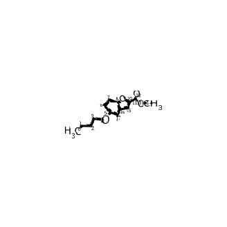 CCCCOc1ccc2oc(C(=O)OC)cc2c1